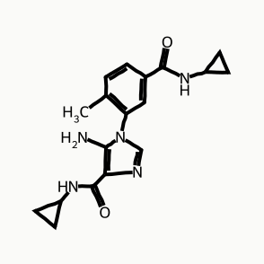 Cc1ccc(C(=O)NC2CC2)cc1-n1cnc(C(=O)NC2CC2)c1N